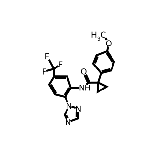 COc1ccc(C2(C(=O)Nc3cc(C(F)(F)F)ccc3-n3cncn3)CC2)cc1